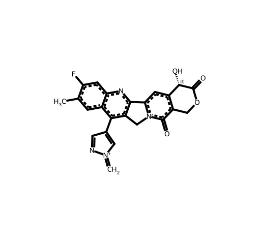 C=[N+]1C=C(c2c3c(nc4cc(F)c(C)cc24)-c2cc4c(c(=O)n2C3)COC(=O)[C@H]4O)C=N1